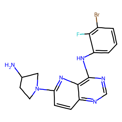 NC1CCN(c2ccc3ncnc(Nc4cccc(Br)c4F)c3n2)C1